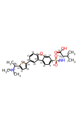 CC(C)[C@H](NS(=O)(=O)c1ccc2c(c1)oc1ccc(-c3ccc(C(C)N(C)C)s3)cc12)C(=O)O